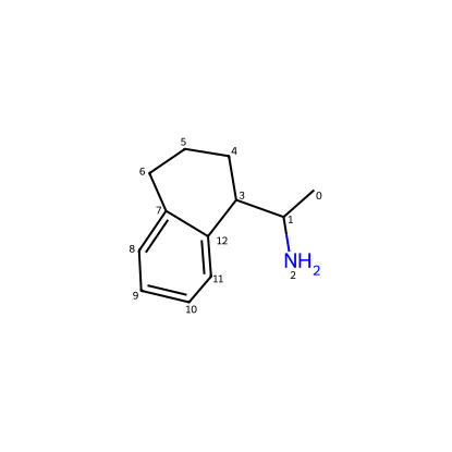 CC(N)C1CCCc2ccccc21